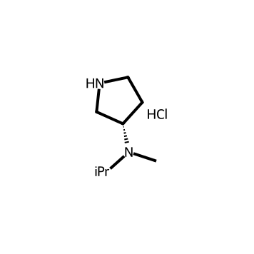 CC(C)N(C)[C@H]1CCNC1.Cl